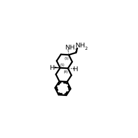 NC[C@]1(N)CC[C@H]2Cc3ccccc3C[C@@H]2C1